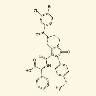 COc1ccc(-n2c(C(=O)N[C@H](C(=O)O)c3ccccc3)c3n(c2=O)CCN(C(=O)c2ccc(Br)c(Cl)c2)C3)cc1